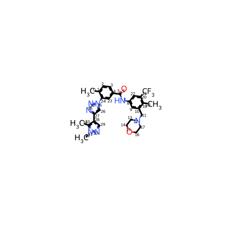 Cc1ccc(C(=O)Nc2cc(CN3CCOCC3)c(C)c(C(F)(F)F)c2)cc1-n1cc(-c2cnn(C)c2C)nn1